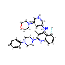 Cc1c(N2CCN(c3ccccc3)CC2)nc2cccc(F)c2c1Nc1cncc(N2CCOCC2)c1